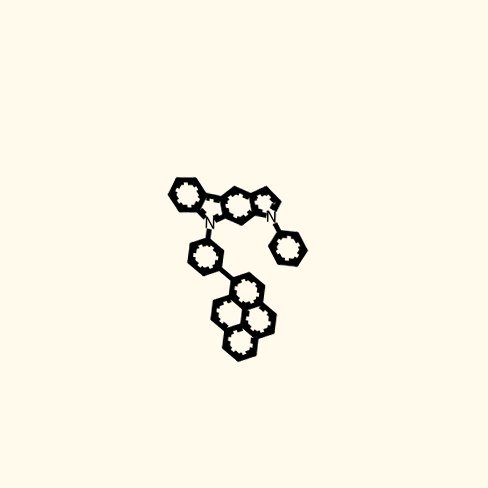 c1ccc(-n2ccc3cc4c5ccccc5n(-c5cccc(-c6ccc7ccc8cccc9ccc6c7c89)c5)c4cc32)cc1